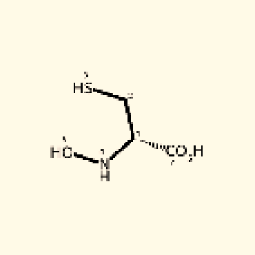 O=C(O)[C@@H](CS)NO